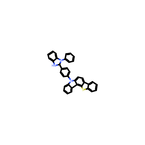 c1ccc(N2c3ccccc3NC2c2ccc(-n3c4ccccc4c4c5sc6ccccc6c5ccc43)cc2)cc1